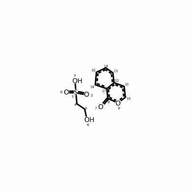 O=S(=O)(O)CCO.O=c1occc2ccccc12